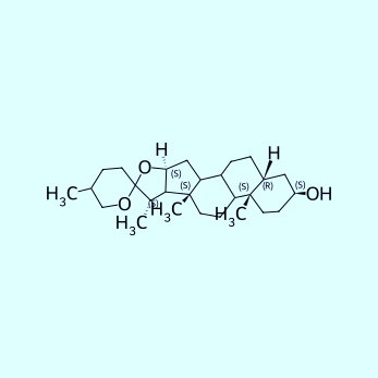 CC1CCC2(OC1)O[C@H]1CC3C4CC[C@@H]5C[C@@H](O)CC[C@]5(C)C4CC[C@]3(C)C1[C@@H]2C